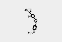 O=C(O)C=Cc1ccc(-c2ncn(-c3ccc(OC(F)(F)F)cc3)n2)cc1F